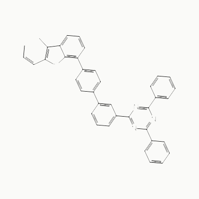 C/C=C\c1sc2c(-c3ccc(-c4cccc(-c5nc(-c6ccccc6)nc(-c6ccccc6)n5)c4)cc3)cccc2c1C